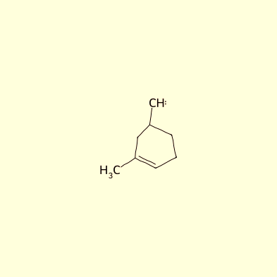 [CH]C1CCC=C(C)C1